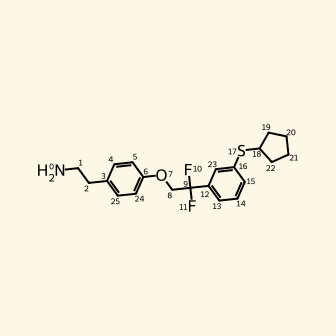 NCCc1ccc(OCC(F)(F)c2cccc(SC3CCCC3)c2)cc1